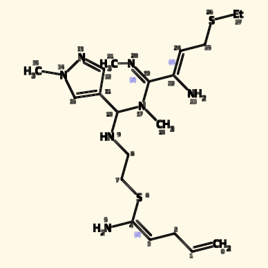 C=CC/C=C(/N)SCCNC(c1cnn(C)c1)N(C)C(=N\C)/C(N)=C/CSCC